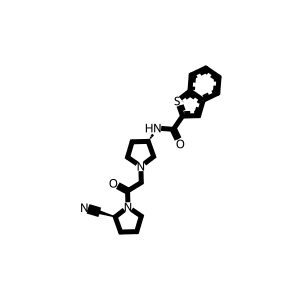 N#C[C@@H]1CCCN1C(=O)CN1CC[C@H](NC(=O)c2cc3ccccc3s2)C1